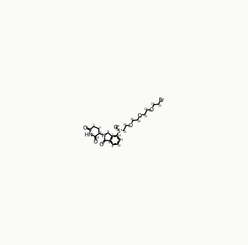 O=C1CCC(N2Cc3c(cccc3[S+]([O-])CCOCCOCCOCCBr)C2=O)C(=O)N1